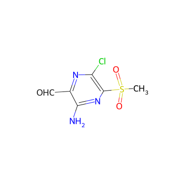 CS(=O)(=O)c1nc(N)c(C=O)nc1Cl